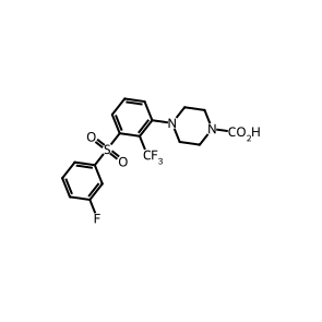 O=C(O)N1CCN(c2cccc(S(=O)(=O)c3cccc(F)c3)c2C(F)(F)F)CC1